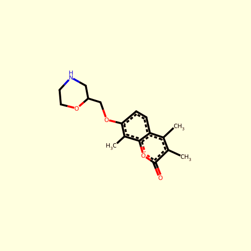 Cc1c(C)c2ccc(OCC3CNCCO3)c(C)c2oc1=O